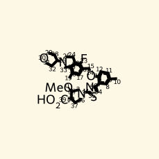 CO[C@H]1CN(c2nc(-c3cc(C)ccc3OCc3cc(C)c4c(c3F)CCN(C3CCOCC3)C4)cs2)CC[C@H]1C(=O)O